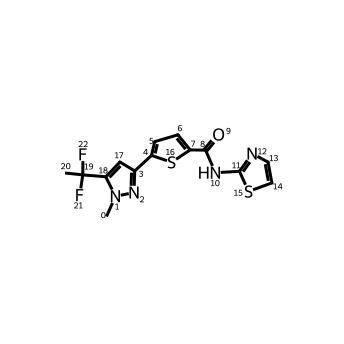 Cn1nc(-c2ccc(C(=O)Nc3nccs3)s2)cc1C(C)(F)F